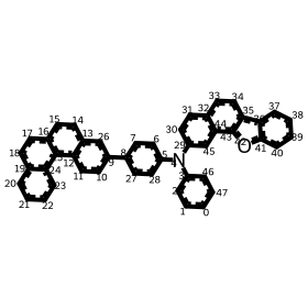 c1ccc(N(c2ccc(-c3ccc4c(ccc5ccc6ccccc6c54)c3)cc2)c2ccc3ccc4c5ccccc5oc4c3c2)cc1